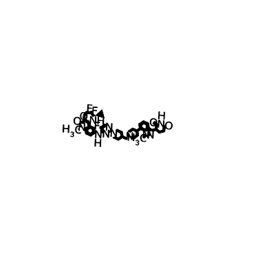 Cn1nc(C2CCC(=O)NC2=O)c2cccc(C3CCN(CC4CCN(c5ncc(F)c(Nc6ccc7c(c6)c6c(c(=O)n7C)OCC(F)(F)[C@H](C7CC7)N6)n5)CC4)CC3)c21